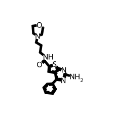 Nc1nc(-c2ccccc2)c2cc(C(=O)NCCCN3CCOCC3)sc2n1